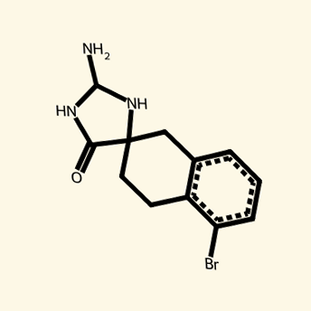 NC1NC(=O)C2(CCc3c(Br)cccc3C2)N1